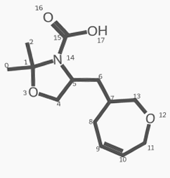 CC1(C)OCC(CC2CC=CCOC2)N1C(=O)O